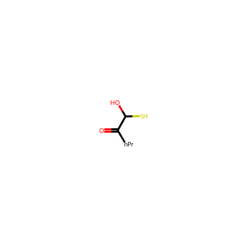 CCCC(=O)C(O)S